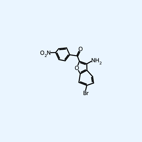 Nc1c(C(=O)c2ccc([N+](=O)[O-])cc2)oc2cc(Br)ccc12